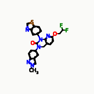 Cn1cc2cc(N3Cc4ccc(OCC(F)F)nc4N(c4ccc5scnc5c4)C3=O)ccc2n1